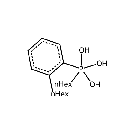 CCCCCCc1ccccc1P(O)(O)(O)CCCCCC